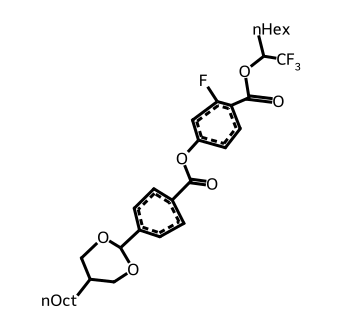 CCCCCCCCC1COC(c2ccc(C(=O)Oc3ccc(C(=O)OC(CCCCCC)C(F)(F)F)c(F)c3)cc2)OC1